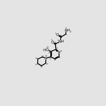 NCC(=O)NC(=O)c1nccc(N2CCCCC2)c1O